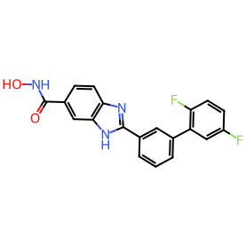 O=C(NO)c1ccc2nc(-c3cccc(-c4cc(F)ccc4F)c3)[nH]c2c1